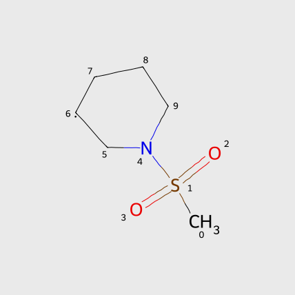 CS(=O)(=O)N1C[CH]CCC1